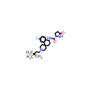 CC(C)(C)CCN1CCC2(CC[C@@H](NC(=O)[C@@H]3CCC(=O)N3)c3ccc(F)cc32)CC1